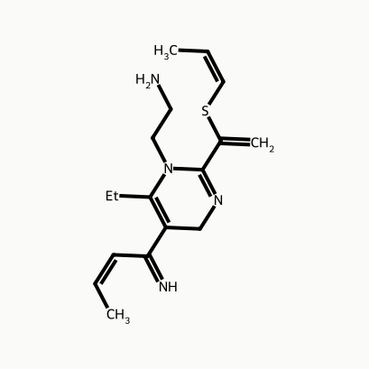 C=C(S/C=C\C)C1=NCC(C(=N)/C=C\C)=C(CC)N1CCN